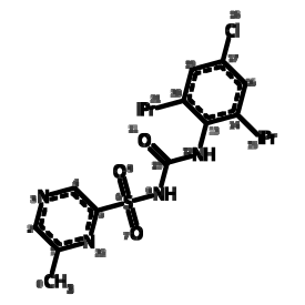 Cc1cncc(S(=O)(=O)NC(=O)Nc2c(C(C)C)cc(Cl)cc2C(C)C)n1